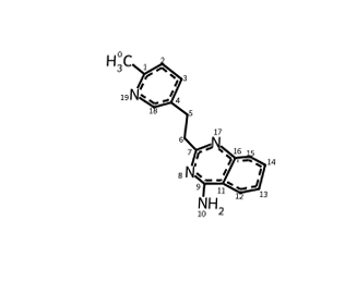 Cc1ccc(CCc2nc(N)c3ccccc3n2)cn1